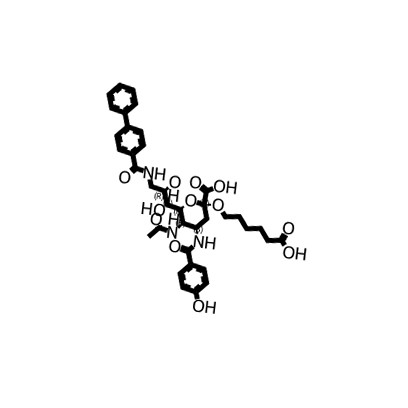 CC(=O)N[C@H]1[C@H]([C@H](O)[C@H](O)CNC(=O)c2ccc(-c3ccccc3)cc2)O[C@@](OCCCCCC(=O)O)(C(=O)O)C[C@@H]1NC(=O)c1ccc(O)cc1